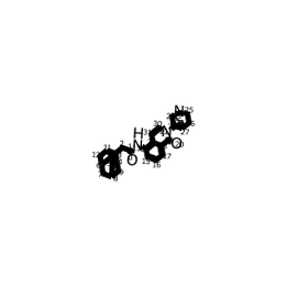 O=C(CC1C2CC3CC(C2)CC1C3)Nc1cccc2c(=O)n(C3CN4CCC3CC4)ccc12